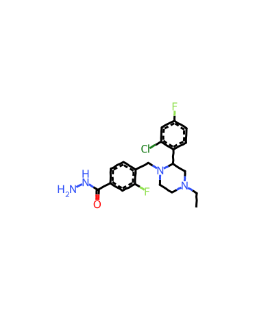 CCN1CCN(Cc2ccc(C(=O)NN)cc2F)C(c2ccc(F)cc2Cl)C1